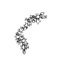 CC1(C)C(NC(=O)c2ccc(N3CCC(CN4CC[C@H](n5ncc6c(N7CCC(=O)NC7=O)cccc65)[C@H](F)C4)CC3)c(F)c2)C(C)(C)C1Oc1ccc(C#N)c(Cl)c1